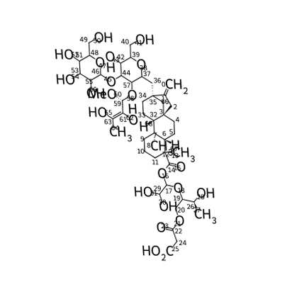 C=C1C[C@@]23CC[C@H]4[C@@](C)(CCC[C@@]4(C)C(=O)OC(OC(COC(=O)CC(=O)O)[C@H](C)O)C(O)O)[C@@H]2CC[C@]1(CC1OC(CO)C(O)C(OC2OC(CO)C(O)C(O)C2O)C1O[C@@H](OC)/C(O)=C(/C)O)C3